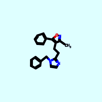 Cc1noc(-c2ccccc2)c1CCc1nccn1Cc1ccccc1